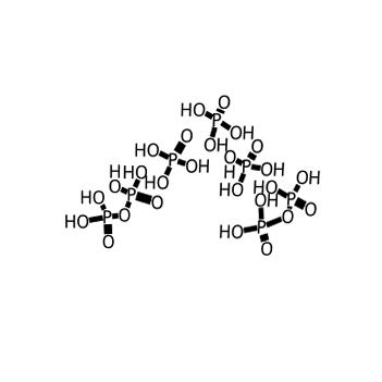 O=P(O)(O)O.O=P(O)(O)O.O=P(O)(O)O.O=P(O)(O)OP(=O)(O)O.O=P(O)(O)OP(=O)(O)O